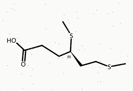 CSCC[C@@H](CCC(=O)O)SC